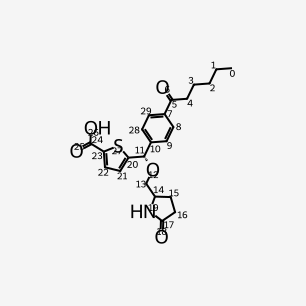 CCCCCC(=O)c1ccc([C@H](OCC2CCC(=O)N2)c2ccc(C(=O)O)s2)cc1